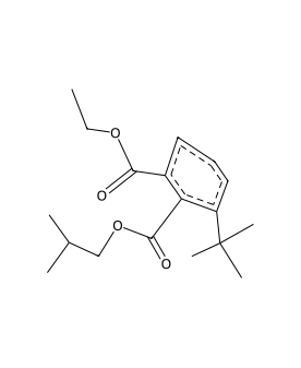 CCOC(=O)c1cccc(C(C)(C)C)c1C(=O)OCC(C)C